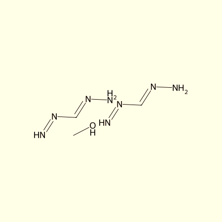 CO.N=NC=NN.N=NC=NN